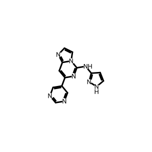 c1ncc(-c2cc3nccn3c(Nc3cc[nH]n3)n2)cn1